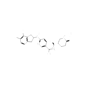 CN(C(=O)[C@H]1CCC(=O)N(C(=O)O)C1)C(c1ccc(NC2Cc3ccc(Cl)c(F)c3C2)nc1)C(F)(F)F